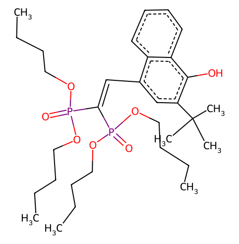 CCCCOP(=O)(OCCCC)C(=Cc1cc(C(C)(C)C)c(O)c2ccccc12)P(=O)(OCCCC)OCCCC